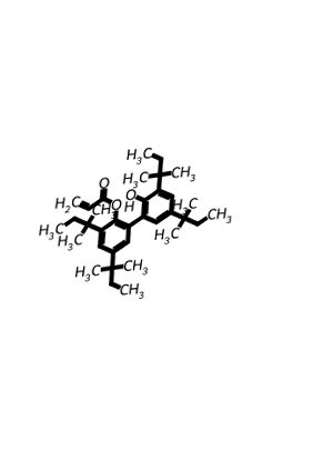 C=CC(=O)Oc1c(-c2cc(C(C)(C)CC)cc(C(C)(C)CC)c2O)cc(C(C)(C)CC)cc1C(C)(C)CC